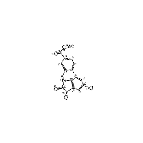 COC(=O)c1cccc(CN2C(=O)C(=O)c3cc(Cl)ccc32)c1